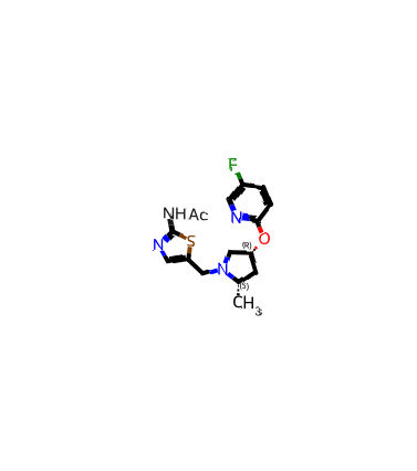 CC(=O)Nc1ncc(CN2C[C@H](Oc3ccc(F)cn3)C[C@@H]2C)s1